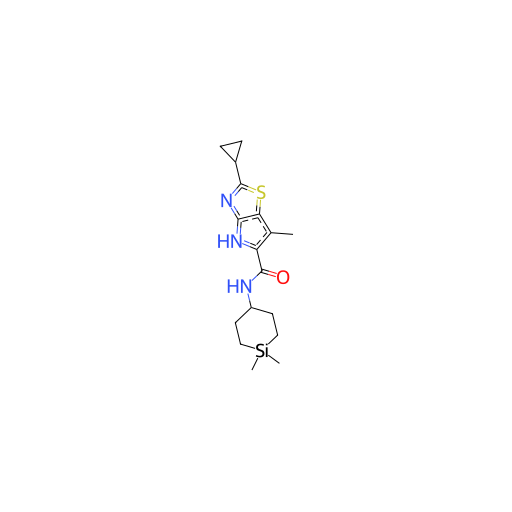 Cc1c(C(=O)NC2CC[Si](C)(C)CC2)[nH]c2nc(C3CC3)sc12